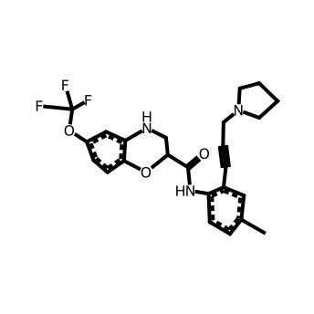 Cc1ccc(NC(=O)C2CNc3cc(OC(F)(F)F)ccc3O2)c(C#CCN2CCCC2)c1